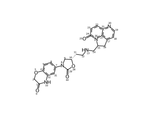 O=C1COc2ccc(N3C[C@H](CCNCC4Cc5ccnc6ccc(=O)n4c56)OC3=O)cc2N1